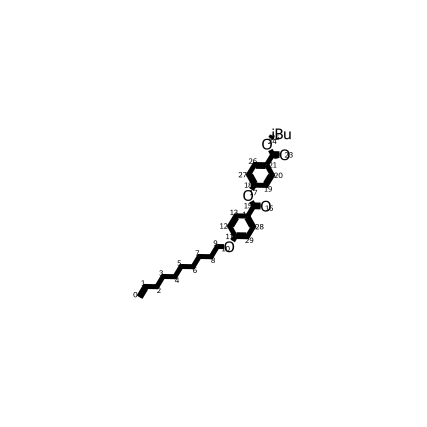 C=CCCCCCCCCOc1ccc(C(=O)Oc2ccc(C(=O)OC(C)CC)cc2)cc1